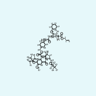 C=CCOC(=O)NC(Cc1ccccc1)C(=O)NCC(=O)Nc1ccc(COC(=O)Nc2cc(O[Si](C(C)C)(C(C)C)C(C)C)c(OC)cc2C(=O)N2CC3(CC3)C[C@H]2CO[Si](C)(C)C(C)(C)C)cc1